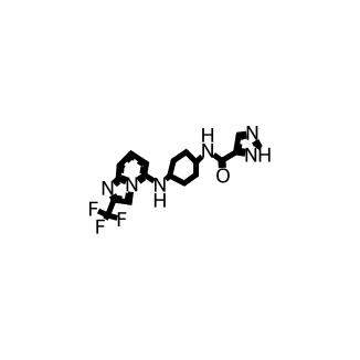 O=C(NC1CCC(Nc2cccc3nc(C(F)(F)F)cn23)CC1)c1cnc[nH]1